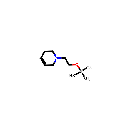 CC(C)(C)[Si](C)(C)OCCN1CC=[C]CC1